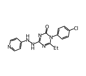 CCc1nc(NNc2ccncc2)nc(=O)n1-c1ccc(Cl)cc1